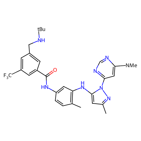 CNc1cc(-n2nc(C)cc2Nc2cc(NC(=O)c3cc(CNC(C)(C)C)cc(C(F)(F)F)c3)ccc2C)ncn1